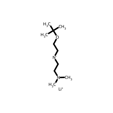 CN(C)CC[N-]CCOC(C)(C)C.[Li+]